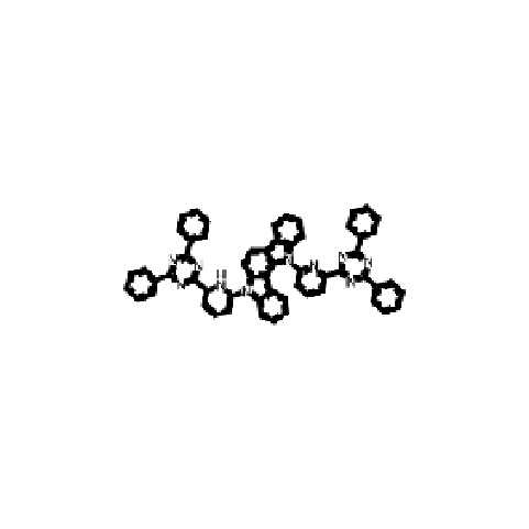 C1=CC(c2nc(-c3ccccc3)nc(-c3ccccc3)n2)NC(n2c3ccccc3c3c2ccc2c4ccccc4n(-c4cccc(-c5nc(-c6ccccc6)nc(-c6ccccc6)n5)n4)c23)=C1